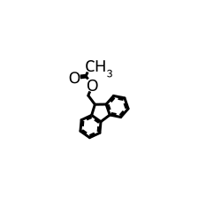 CC(=O)OCC1c2ccccc2-c2ccccc21